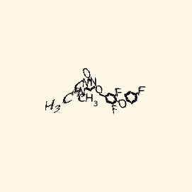 C[C@H]1CCn2c(cc(OCc3cc(F)c(Oc4ccc(F)cc4)c(F)c3)nc2=O)N1C